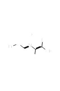 CCC(O)=C(N=COC(C)C)C(=O)[O-].[K+]